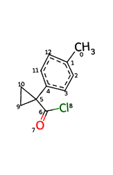 Cc1ccc(C2(C(=O)Cl)CC2)cc1